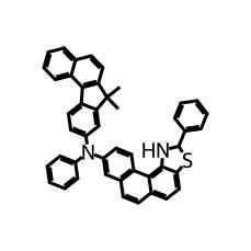 CC1(C)c2cc(N(c3ccccc3)c3ccc4c(ccc5ccc6c(c54)NC(c4ccccc4)S6)c3)ccc2-c2c1ccc1ccccc21